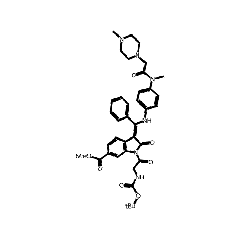 COC(=O)c1ccc2c(c1)N(C(=O)CNC(=O)OC(C)(C)C)C(=O)/C2=C(\Nc1ccc(N(C)C(=O)CN2CCN(C)CC2)cc1)c1ccccc1